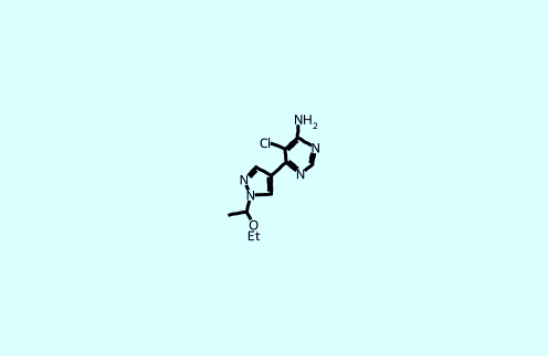 CCOC(C)n1cc(-c2ncnc(N)c2Cl)cn1